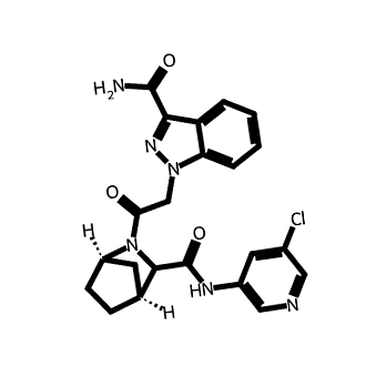 NC(=O)c1nn(CC(=O)N2C(C(=O)Nc3cncc(Cl)c3)[C@H]3CC[C@@H]2C3)c2ccccc12